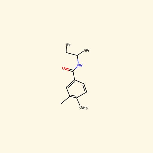 CCCC(CC(C)C)NC(=O)c1ccc(OC)c(C)c1